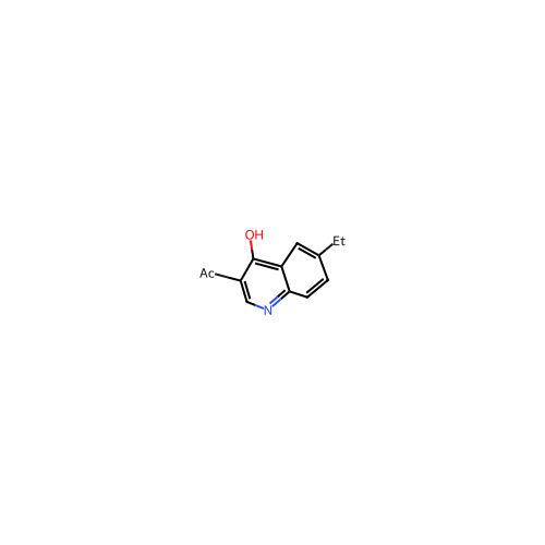 CCc1ccc2ncc(C(C)=O)c(O)c2c1